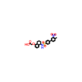 Cc1ccc(-c2ccc(S(=O)(=O)NC3CCCc4c(OCC(=O)O)cccc43)cc2)cc1[N+](=O)[O-]